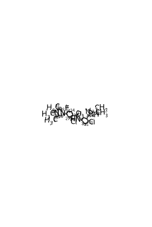 CC(C)c1cnc(-c2cc(NC(=O)c3cc(F)c(N4C[C@@H](C)N(C)[C@@H](C)C4)cc3Cl)ccc2Cl)[nH]1